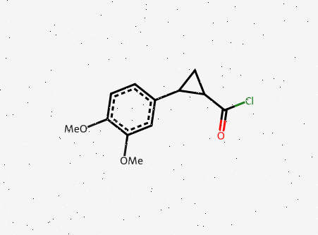 COc1ccc(C2CC2C(=O)Cl)cc1OC